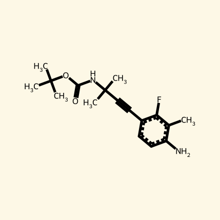 Cc1c(N)ccc(C#CC(C)(C)NC(=O)OC(C)(C)C)c1F